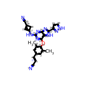 Cc1cc(/C=C/C#N)cc(C)c1Oc1nc(NC23CC(C#N)(C2)C3)nc2nc(-c3cc[nH]n3)[nH]c12